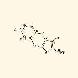 CCCC1=C(C)C(Cc2cnc(C)nc2C)=CC1